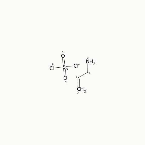 C=CCN.O=S(=O)(Cl)Cl